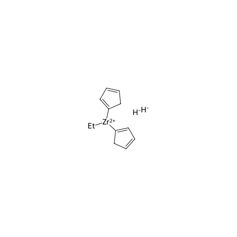 C[CH2][Zr+2]([C]1=CC=CC1)[C]1=CC=CC1.[H-].[H-]